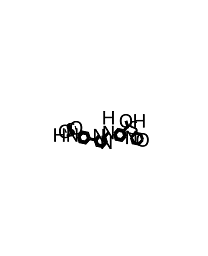 CS(=O)(=O)Nc1ccc(-c2ccnc(Nc3ccc(N4CCOCC4)c(C(O)=S)c3)n2)cc1